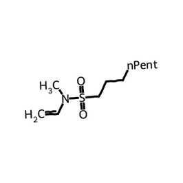 C=CN(C)S(=O)(=O)CCCCCCCC